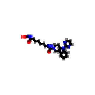 O=C(CCCCCCNC(=O)N1CCc2c(c3ccccc3n2-c2ncccn2)C1)NO